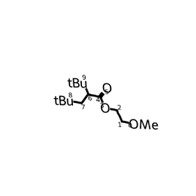 COCCOC(=O)C(CC(C)(C)C)C(C)(C)C